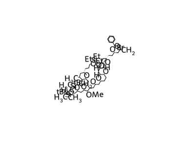 C=C(Br)C[C@@H](CC[C@@]12CC3O[C@H]4C(O1)[C@H]1OC(CC(=O)CC5[C@@H](OC)C(CC(CO[Si](C)(C)C(C)(C)C)O[Si](C)(C)C(C)(C)C)O[C@H]5CC5O[C@@H](CCCO[Si](CC)(CC)CC)CC(C)C5=C)CCC1O[C@H]4C3O2)OC(=O)c1ccccc1